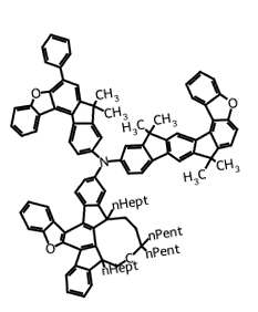 CCCCCCCC12CCC(CCCCC)(CCCCC)CCC3(CCCCCCC)c4cc(N(c5ccc6c(c5)C(C)(C)c5cc7c(cc5-6)C(C)(C)c5ccc6oc8ccccc8c6c5-7)c5ccc6c(c5)C(C)(C)c5cc(-c7ccccc7)c7oc8ccccc8c7c5-6)ccc4-c4c3c1c(c1oc3ccccc3c41)-c1ccccc12